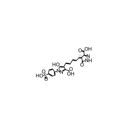 O=C(O)C1=NNC(=O)/C1=C\C=CC=Cc1c(C(=O)O)nn(-c2ccc(S(=O)(=O)O)cc2)c1O